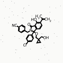 C=C(C)c1ccc2c(c1O)C(=O)N(Cc1ccc(C#N)cc1)C2(OCC1(CO)CC1)c1ccc(Cl)cc1